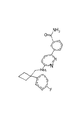 NC(=O)c1cccc(-c2ccc(NCC3(c4ccc(F)cc4)CCC3)nn2)c1